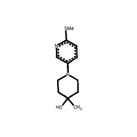 CSc1ccc(N2CCC(C)(O)CC2)cn1